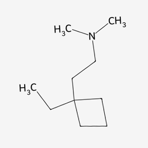 CCC1(CCN(C)C)CCC1